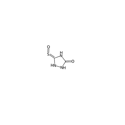 O=S=c1[nH][nH]c(=O)[nH]1